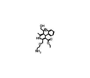 CCOC(=O)C1=C(COCCN)NC(C)=C(C(=O)CO)C1c1ccccc1Cl